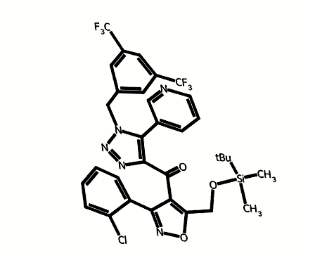 CC(C)(C)[Si](C)(C)OCc1onc(-c2ccccc2Cl)c1C(=O)c1nnn(Cc2cc(C(F)(F)F)cc(C(F)(F)F)c2)c1-c1cccnc1